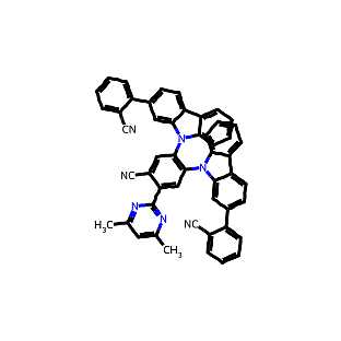 Cc1cc(C)nc(-c2cc(-n3c4ccccc4c4ccc(-c5ccccc5C#N)cc43)c(-n3c4ccccc4c4ccc(-c5ccccc5C#N)cc43)cc2C#N)n1